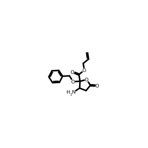 C=CCOC(=O)C1(OCc2ccccc2)OC(=O)CC1N